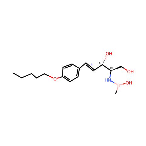 CCCCCOc1ccc(/C=C/[C@H](O)[C@@H](CO)NB(C)O)cc1